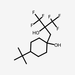 CC(C)(C)C1CCC(O)(CC(O)(C(F)(F)F)C(F)(F)F)CC1